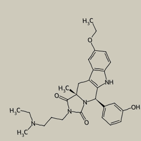 CCOc1ccc2[nH]c3c(c2c1)C[C@@]1(C)C(=O)N(CCCN(C)CC)C(=O)N1[C@@H]3c1cccc(O)c1